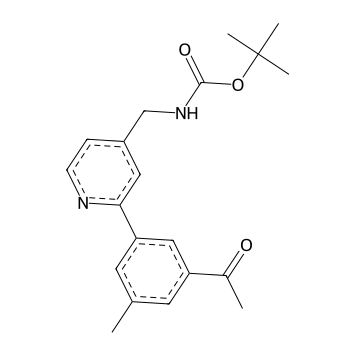 CC(=O)c1cc(C)cc(-c2cc(CNC(=O)OC(C)(C)C)ccn2)c1